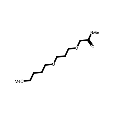 CNC(=O)COCCCOCCCCOC